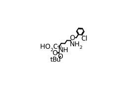 CC(C)(C)OC(=O)N[C@@H](CCCC(N)OCc1ccccc1Cl)C(=O)O